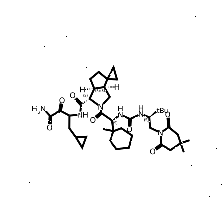 CC1(C)CC(=O)N(C[C@@H](NC(=O)N[C@H](C(=O)N2C[C@H]3[C@H](CCC34CC4)[C@H]2C(=O)NC(CC2CC2)C(=O)C(N)=O)C2(C)CCCCC2)C(C)(C)C)C(=O)C1